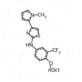 CCCCCCCCOc1ccc(Nc2nc(-c3cccn3C)cs2)cc1C(F)(F)F